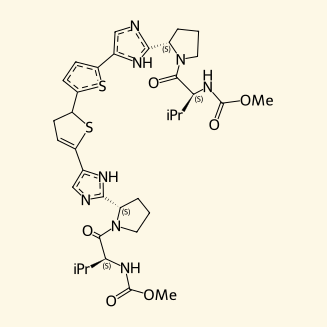 COC(=O)N[C@H](C(=O)N1CCC[C@H]1c1ncc(C2=CCC(c3ccc(-c4cnc([C@@H]5CCCN5C(=O)[C@@H](NC(=O)OC)C(C)C)[nH]4)s3)S2)[nH]1)C(C)C